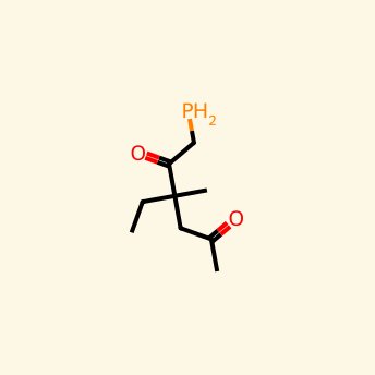 CCC(C)(CC(C)=O)C(=O)CP